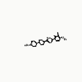 CCCC1CCC(C2CCC(C3=CCC(c4ccc(OCC)c(F)c4F)CO3)CC2)CC1